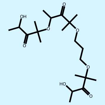 CC(O)C(=O)C(C)(C)OCCCOC(C)(C)C(=O)C(C)OC(C)(C)C(=O)C(C)O